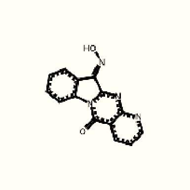 O=c1c2cccnc2nc2n1-c1ccccc1/C2=N\O